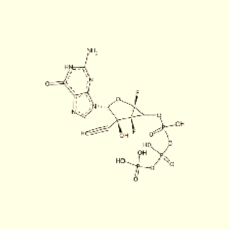 C#C[C@]1(O)[C@H](n2cnc3c(=O)[nH]c(N)nc32)O[C@]2(F)C(OP(=O)(O)OP(=O)(O)OP(=O)(O)O)[C@@]21F